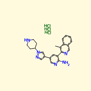 Cc1c(-c2cc(-c3cnn(C4CCNCC4)c3)cnc2N)ncc2ccccc12.Cl.Cl.Cl